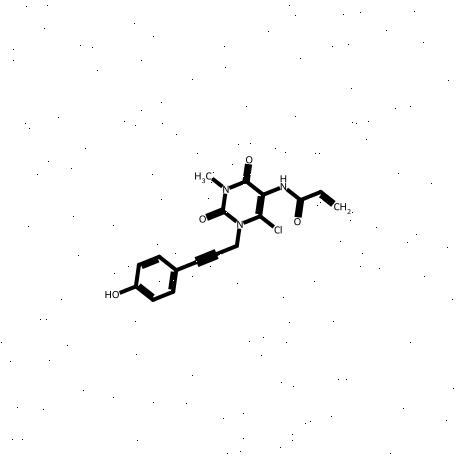 C=CC(=O)Nc1c(Cl)n(CC#Cc2ccc(O)cc2)c(=O)n(C)c1=O